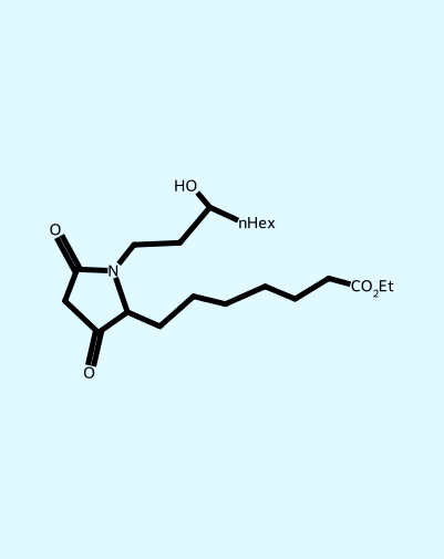 CCCCCCC(O)CCN1C(=O)CC(=O)C1CCCCCCC(=O)OCC